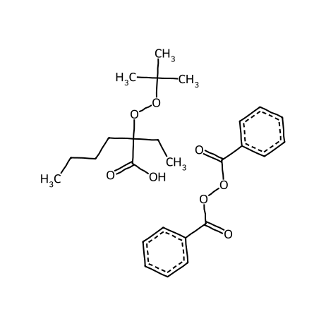 CCCCC(CC)(OOC(C)(C)C)C(=O)O.O=C(OOC(=O)c1ccccc1)c1ccccc1